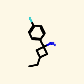 [CH2]CC1CC(N)(c2ccc(F)cc2)C1